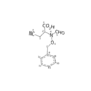 N#CCC(C(=O)O)N(C=O)OCc1ccccc1